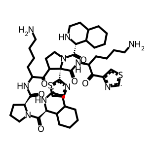 NCCCCC(NC(=O)[C@@]1(c2nccs2)C(C(=O)C(CCCCN)NC(=O)[C@@H]2CCCN2C(=O)[C@H]2NCCC3CCCCC32)CCN1C(=O)[C@@H]1NCCC2CCCCC21)C(=O)c1cs[c]n1